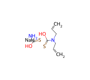 C=CCN(CC=C)C(O)=S.NC(O)=S.[NaH]